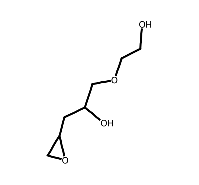 OCCOCC(O)CC1CO1